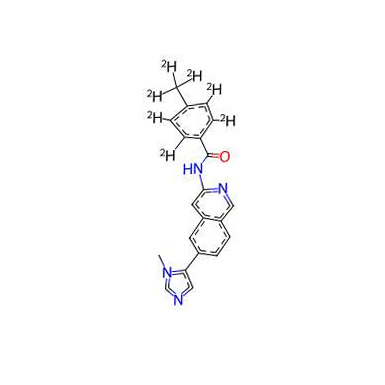 [2H]c1c([2H])c(C([2H])([2H])[2H])c([2H])c([2H])c1C(=O)Nc1cc2cc(-c3cncn3C)ccc2cn1